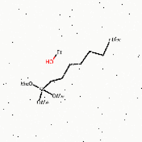 CCCCCCCCCCCCCCCC[Si](OC)(OC)OC.CCO